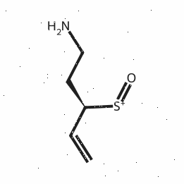 C=C[C@@H](CCN)[S+]=O